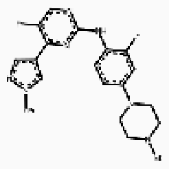 CCCn1cc(-c2nc(Nc3ccc(N4CCN(CC)CC4)cc3F)ncc2F)cn1